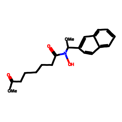 COC(=O)CCCCCC(=O)N(O)C(OC)c1ccc2ccccc2c1